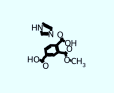 COC(=O)c1cc(C(=O)O)ccc1C(=O)O.c1c[nH]cn1